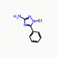 CCn1nc(N)nc1-c1ccccc1